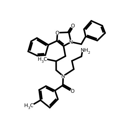 Cc1ccc(C(=O)N(CCCN)CC(C)Cc2c(-c3ccccc3)oc(=O)n2Cc2ccccc2)cc1